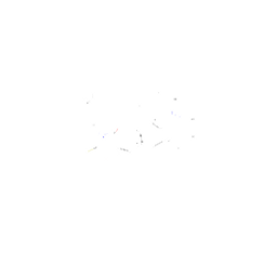 N#CCCN1C(=O)/C(=C\c2cc3c4c(c2)CCCN4CCC3)OC1=S